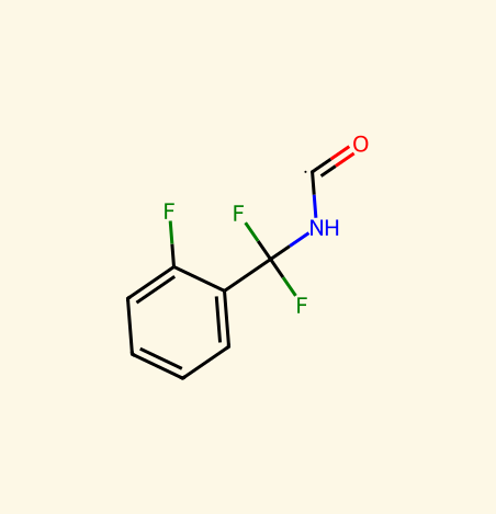 O=[C]NC(F)(F)c1ccccc1F